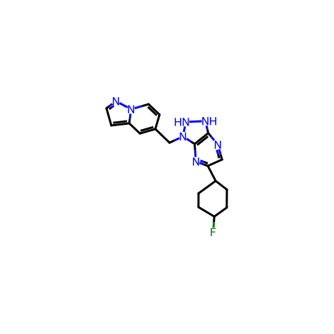 FC1CCC(c2cnc3c(n2)N(Cc2ccn4nccc4c2)NN3)CC1